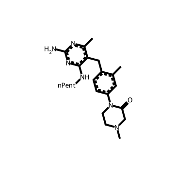 CCCCCNc1nc(N)nc(C)c1Cc1ccc(N2CCN(C)CC2=O)cc1C